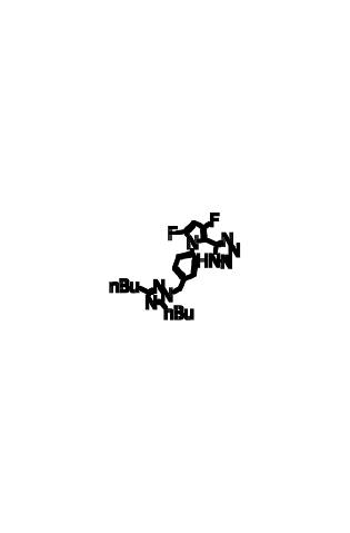 CCCCc1nc(CCCC)n(Cc2ccc(-n3c(F)cc(F)c3-c3nnn[nH]3)cc2)n1